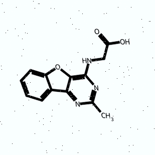 Cc1nc(NCC(=O)O)c2oc3ccccc3c2n1